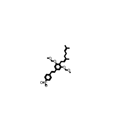 COCOc1cc(C=Cc2ccc([N+](=O)[O-])cc2)cc(OCOC)c1CC=C(C)CCC=C(C)C